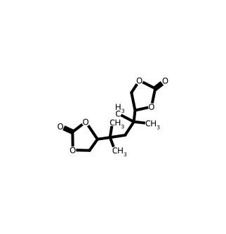 CC(C)(CC(C)(C)C1COC(=O)O1)C1COC(=O)O1